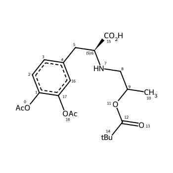 CC(=O)Oc1ccc(C[C@H](NCC(C)OC(=O)C(C)(C)C)C(=O)O)cc1OC(C)=O